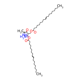 CCCCCCCCC=CCCCCCCCC(=O)OCC(C(=O)[C@H](C)N)C(N)OC(=O)CCCCCCCC=CCCCCCCCC